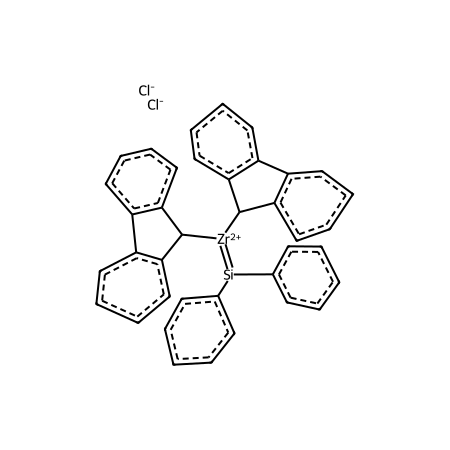 [Cl-].[Cl-].c1ccc([Si](c2ccccc2)=[Zr+2]([CH]2c3ccccc3-c3ccccc32)[CH]2c3ccccc3-c3ccccc32)cc1